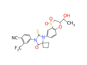 CC(O)C1CS(=O)(=O)c2cc(N3C(=S)N(c4ccc(C#N)c(C(F)(F)F)c4)C(=O)C34CCC4)ccc2O1